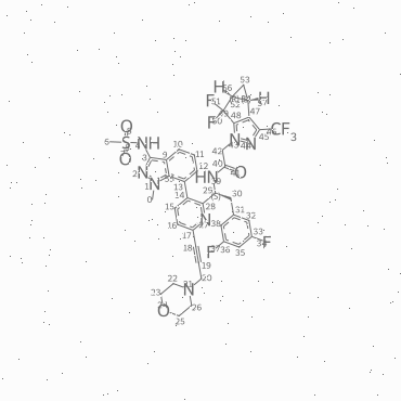 Cn1nc(NS(C)(=O)=O)c2cccc(-c3ccc(C#CCN4CCOCC4)nc3[C@H](Cc3cc(F)cc(F)c3)NC(=O)Cn3nc(C(F)(F)F)c4c3C(F)(F)[C@@H]3C[C@H]43)c21